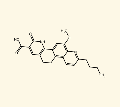 CCCCc1ccc2c3c(cc(OC)c2n1)-c1[nH]c(=O)c(C(=O)O)cc1CC3